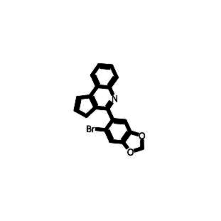 Brc1cc2c(cc1-c1nc3ccccc3c3c1CC=C3)OCO2